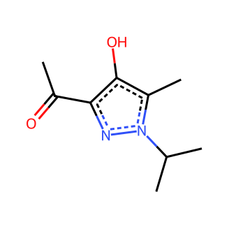 CC(=O)c1nn(C(C)C)c(C)c1O